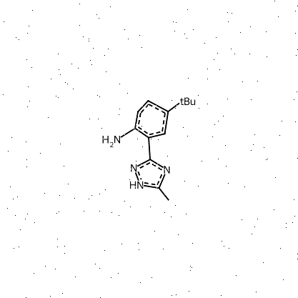 Cc1nc(-c2cc(C(C)(C)C)ccc2N)n[nH]1